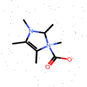 CC1=C(C)[N+](C)(C(=O)[O-])C(C)N1C